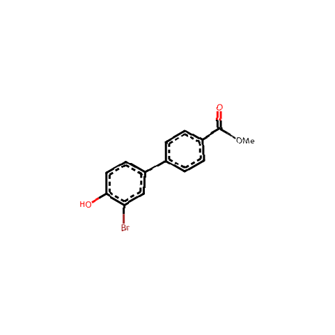 COC(=O)c1ccc(-c2ccc(O)c(Br)c2)cc1